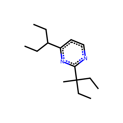 CCC(CC)c1ccnc(C(C)(CC)CC)n1